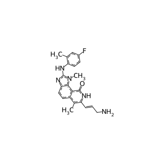 Cc1cc(F)ccc1Nc1nc2ccc3c(C)c(C=CCN)[nH]c(=O)c3c2n1C